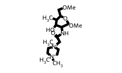 COCC1OC(OC)C(NC(=O)C[N+]2(C)CC[N+](C)(C)CC2)C(O)C1C